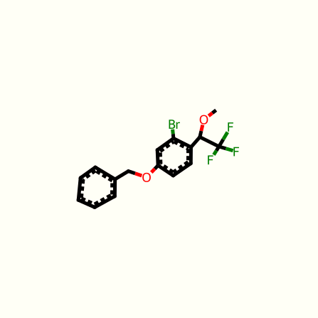 COC(c1ccc(OCc2ccccc2)cc1Br)C(F)(F)F